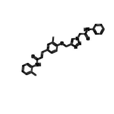 Cc1ccccc1NC(=O)/C=C/c1ccc(OCc2cn(CC(=O)Nc3ccccc3)nn2)c(C)c1